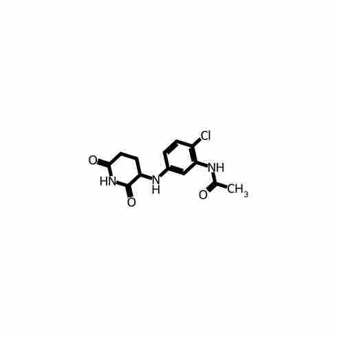 CC(=O)Nc1cc(NC2CCC(=O)NC2=O)ccc1Cl